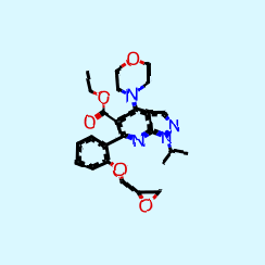 CCOC(=O)c1c(-c2ccccc2OCC2CO2)nc2c(cnn2C(C)C)c1N1CCOCC1